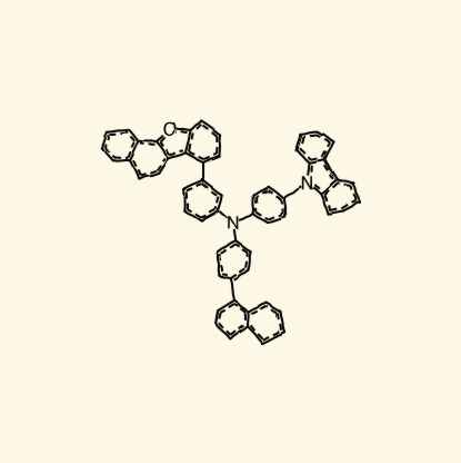 c1cc(-c2cccc3oc4c5ccccc5ccc4c23)cc(N(c2ccc(-c3cccc4ccccc34)cc2)c2ccc(-n3c4ccccc4c4ccccc43)cc2)c1